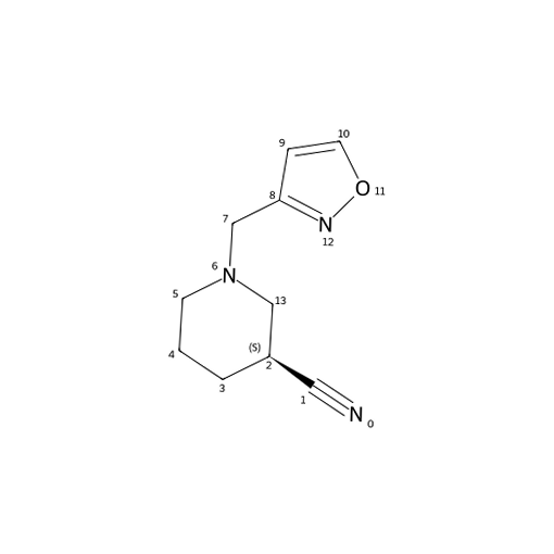 N#C[C@H]1CCCN(Cc2ccon2)C1